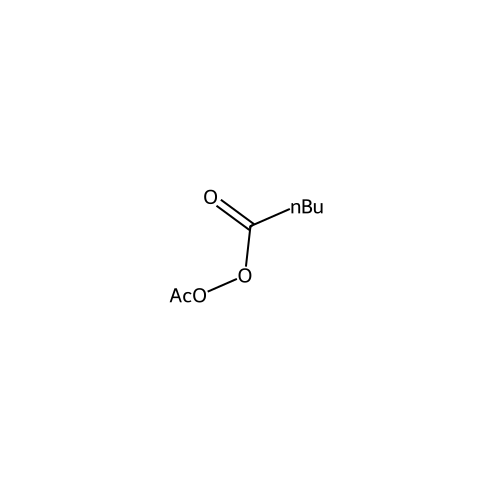 CCCCC(=O)OOC(C)=O